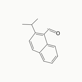 CC(C)c1ccc2ccccc2c1[C]=O